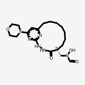 O=CN(O)C[C@H]1CCCCCCCc2cc(N3CCOCC3)nc(n2)NNC1=O